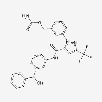 NC(=O)OCc1cccc(-n2nc(C(F)(F)F)cc2C(=O)Nc2cccc(C(O)c3ccccc3)c2)c1